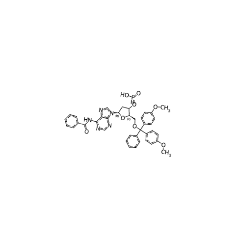 COc1ccc(C(OC[C@H]2O[C@@H](n3cnc4c(NC(=O)c5ccccc5)ncnc43)CC2O[PH](=O)O)(c2ccccc2)c2ccc(OC)cc2)cc1